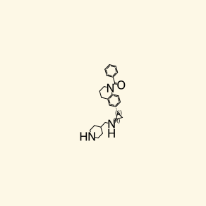 O=C(c1ccccc1)N1CCCc2cc([C@@H]3C[C@H]3NCC3CCNCC3)ccc21